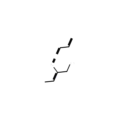 C=CC=C=N/C(=C\C)CC(C)C